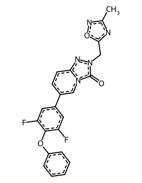 Cc1noc(Cn2nc3ccc(-c4cc(F)c(Oc5ccccc5)c(F)c4)cn3c2=O)n1